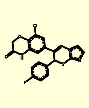 O=C1COc2c(Cl)cc(C3=Cn4ccnc4SC3c3ccc(F)cc3)cc2N1